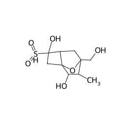 CC1C(O)C23CC(O)([SH](=O)=O)C2CC1(CO)O3